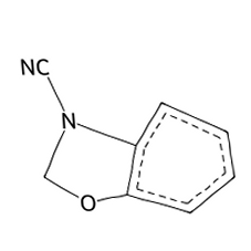 N#CN1COc2ccccc21